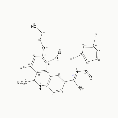 CCOC(=O)C(Nc1ccc(/C(N)=N/C(=O)c2ccc(F)cc2F)cc1)c1cc(OCC)c(OCCO)cc1F